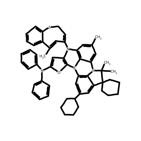 C/C1=C\C(N2c3cc(N(c4ccccc4)c4ccccc4)oc3B3c4cc(C5CCCCC5)cc5c4N(c4cc(C)cc2c43)C(C)(C)C52CCCCC2)=C/CSc2ccccc21